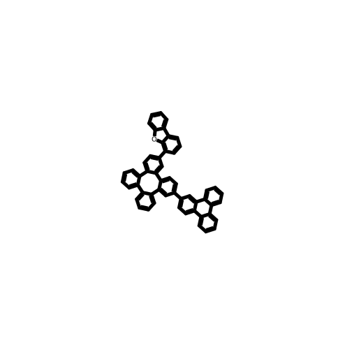 c1ccc2c(c1)-c1ccccc1-c1cc(-c3ccc4c5ccccc5c5ccccc5c4c3)ccc1-c1cc(-c3cccc4c3oc3ccccc34)ccc1-2